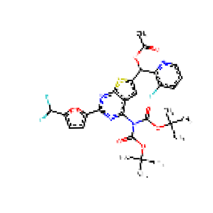 CC(=O)OC(c1cc2c(N(C(=O)OC(C)(C)C)C(=O)OC(C)(C)C)nc(-c3ccc(C(F)F)o3)nc2s1)c1ncccc1F